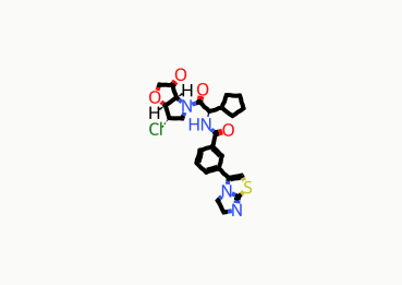 O=C(N[C@H](C(=O)N1C[C@H](Cl)[C@H]2OCC(=O)[C@H]21)C1CCCC1)c1cccc(C2=CSC3=NCCN23)c1